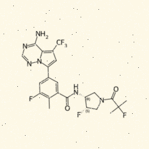 Cc1c(F)cc(-c2cc(C(F)(F)F)c3c(N)ncnn23)cc1C(=O)N[C@@H]1CN(C(=O)C(C)(C)F)C[C@@H]1F